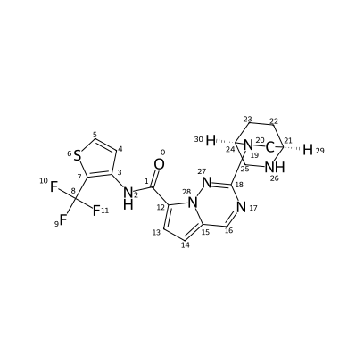 O=C(Nc1ccsc1C(F)(F)F)c1ccc2cnc(N3C[C@H]4CC[C@@H]3CN4)nn12